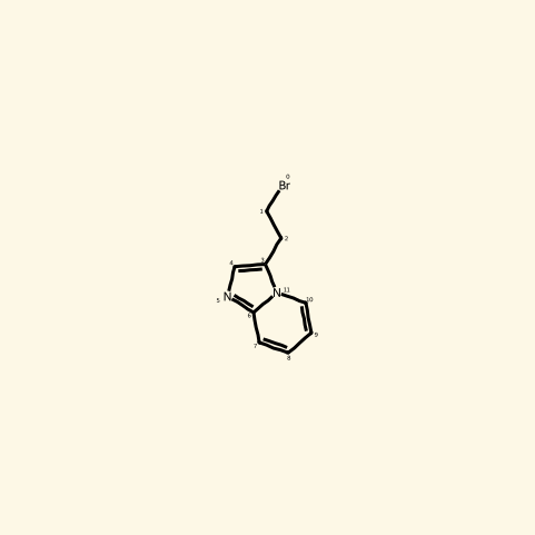 BrCCc1cnc2ccccn12